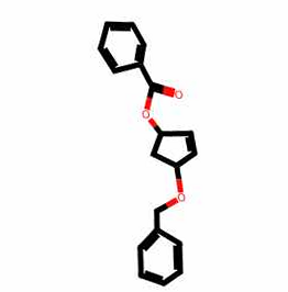 O=C(OC1C=CC(OCc2ccccc2)C1)c1ccccc1